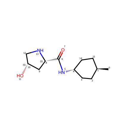 C[C@H]1CC[C@H](NC(=O)[C@@H]2C[C@H](O)CN2)CC1